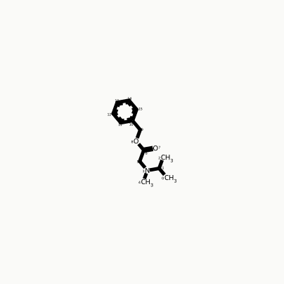 CC(C)N(C)CC(=O)OCc1ccccc1